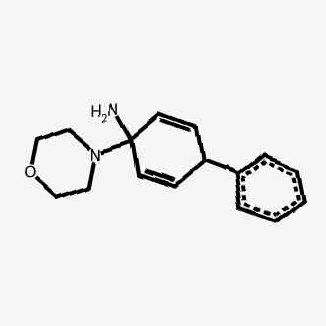 NC1(N2CCOCC2)C=CC(c2ccccc2)C=C1